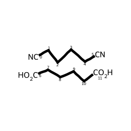 N#CCCCCC#N.O=C(O)CCCCC(=O)O